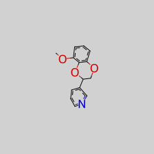 COc1cccc2c1OC(c1cccnc1)CO2